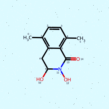 Cc1ccc(C)c2c1CC(O)N(O)C2=O